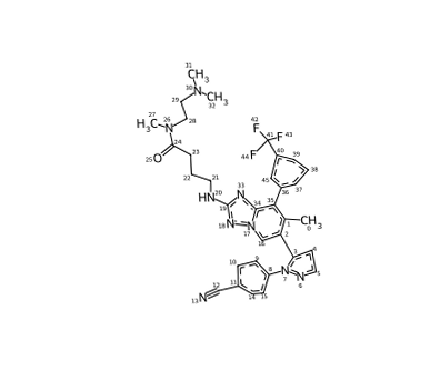 Cc1c(-c2ccnn2-c2ccc(C#N)cc2)cn2nc(NCCCC(=O)N(C)CCN(C)C)nc2c1-c1cccc(C(F)(F)F)c1